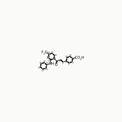 O=C(O)c1ccc(C=CC(=O)c2ccc(C(F)(F)F)nc2Nc2ccccc2)cc1